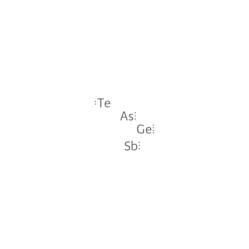 [As].[Ge].[Sb].[Te]